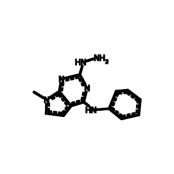 Cn1ccc2c(Nc3ccccc3)nc(NN)nc21